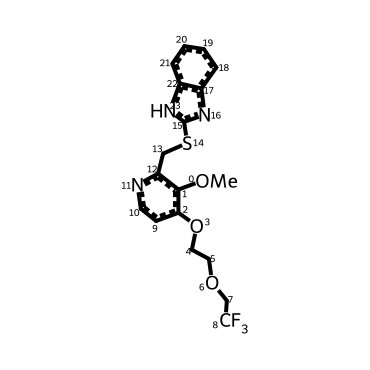 COc1c(OCCOCC(F)(F)F)ccnc1CSc1nc2ccccc2[nH]1